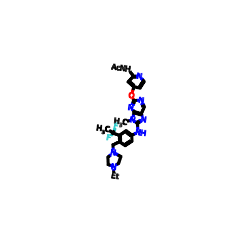 CCN1CCN(Cc2ccc(Nc3nc4cnc(Oc5ccnc(NC(C)=O)c5)nc4n3C)cc2C(C)(F)F)CC1